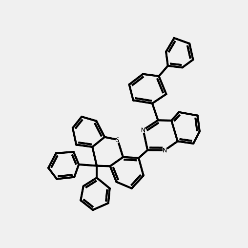 c1ccc(-c2cccc(-c3nc(-c4cccc5c4Sc4ccccc4C5(c4ccccc4)c4ccccc4)nc4ccccc34)c2)cc1